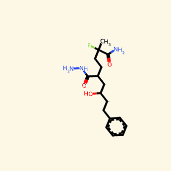 CC(F)(CCC(CC(O)[CH]Cc1ccccc1)C(=O)NN)C(N)=O